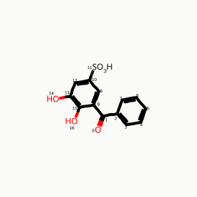 O=C(c1ccccc1)c1cc(S(=O)(=O)O)cc(O)c1O